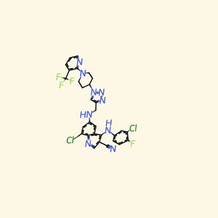 N#Cc1cnc2c(Cl)cc(NCc3cn(C4CCN(c5ncccc5C(F)(F)F)CC4)nn3)cc2c1Nc1ccc(F)c(Cl)c1